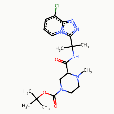 CN1CCN(C(=O)OC(C)(C)C)C[C@H]1C(=O)NC(C)(C)c1nnc2c(Cl)cccn12